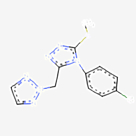 CSc1nnc(Cn2nccn2)n1-c1ccc(Cl)cc1